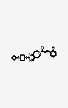 O=C(/C=C/c1ccccc1Br)N1CCc2cnc(N3CCN(C4CCC4)CC3)nc2CC1